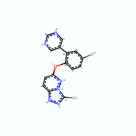 Clc1ccc(Oc2ccc3nnc(Cl)n3n2)c(-c2cncnc2)c1